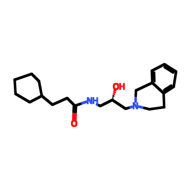 O=C(CCC1CCCCC1)NC[C@H](O)CN1CCc2ccccc2C1